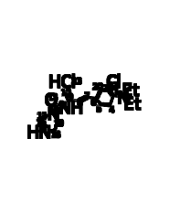 CCN(CC)c1ccc(C#CC(C)NC(=O)N2CCNCC2)cc1Cl.Cl